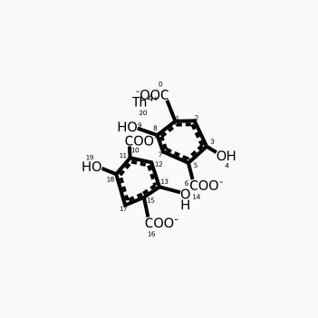 O=C([O-])c1cc(O)c(C(=O)[O-])cc1O.O=C([O-])c1cc(O)c(C(=O)[O-])cc1O.[Th+4]